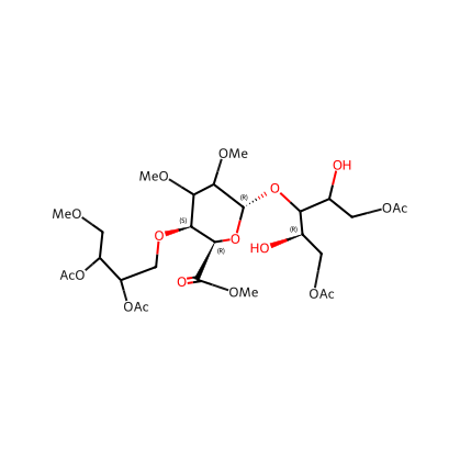 COCC(OC(C)=O)C(CO[C@H]1C(OC)C(OC)[C@H](OC(C(O)COC(C)=O)[C@H](O)COC(C)=O)O[C@H]1C(=O)OC)OC(C)=O